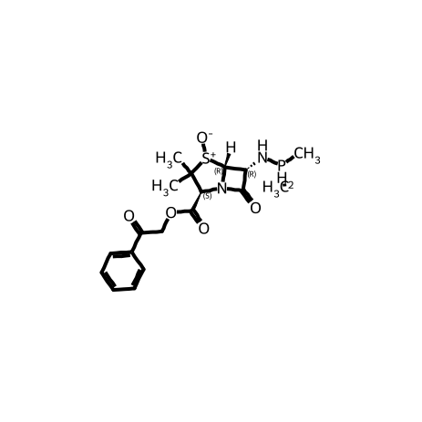 C[PH2](C)N[C@@H]1C(=O)N2[C@@H]1[S+]([O-])C(C)(C)[C@@H]2C(=O)OCC(=O)c1ccccc1